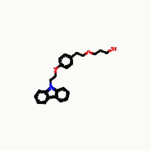 OCCCOCCc1ccc(OCCn2c3ccccc3c3ccccc32)cc1